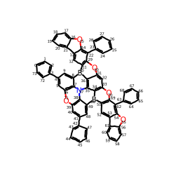 c1ccc(-c2cc3c4c(c2)B2c5cc6c(oc7ccccc76)c(-c6ccccc6)c5Oc5cc6c7c(c52)N4c2c(cc(-c4ccccc4)cc2B7c2cc4c(oc5ccccc54)c(-c4ccccc4)c2O6)O3)cc1